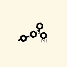 C1CC[CH]([Ru]([CH]2CCCCC2)[CH]2CCCCC2)CC1.Cc1ccc(C(C)C)cc1.P